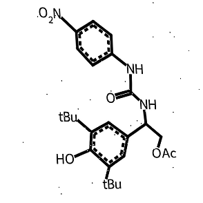 CC(=O)OCC(NC(=O)Nc1ccc([N+](=O)[O-])cc1)c1cc(C(C)(C)C)c(O)c(C(C)(C)C)c1